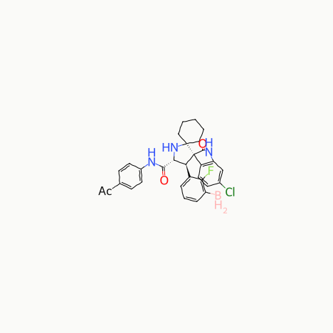 Bc1cccc([C@H]2[C@H](C(=O)Nc3ccc(C(C)=O)cc3)NC3(CCCCC3)[C@@]23C(=O)Nc2cc(Cl)ccc23)c1F